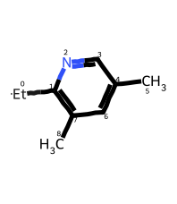 C[CH]c1ncc(C)cc1C